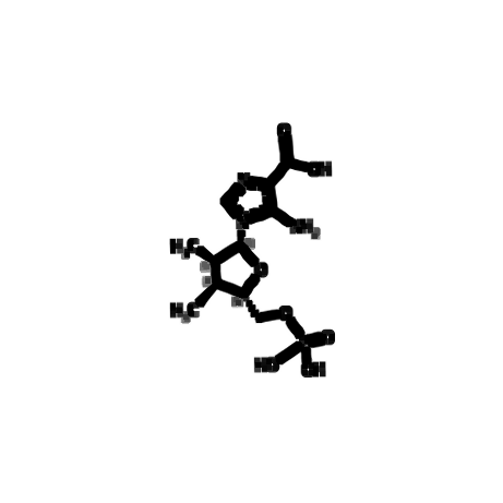 C[C@@H]1[C@H](C)[C@@H](COP(=O)(O)O)O[C@H]1n1cnc(C(=O)O)c1N